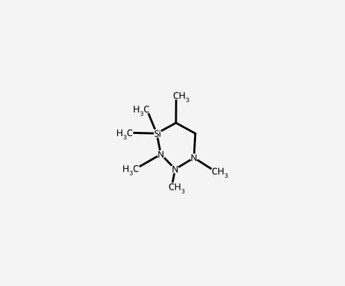 CC1CN(C)N(C)N(C)[Si]1(C)C